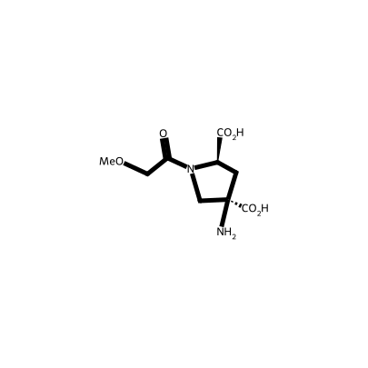 COCC(=O)N1C[C@@](N)(C(=O)O)C[C@@H]1C(=O)O